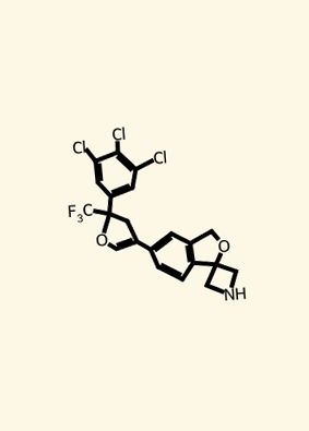 FC(F)(F)C1(c2cc(Cl)c(Cl)c(Cl)c2)CC(c2ccc3c(c2)COC32CNC2)=CO1